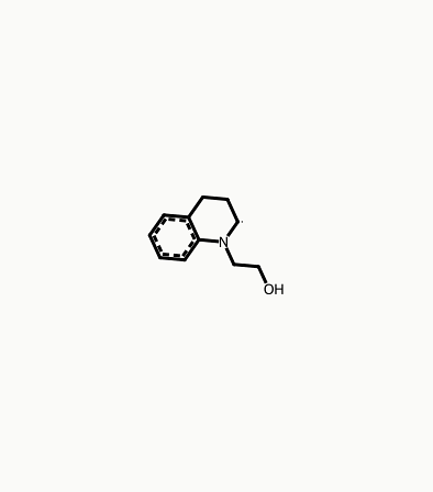 OCCN1[CH]CCc2ccccc21